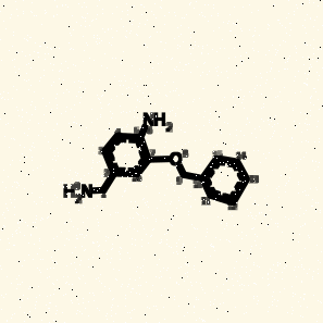 NCc1ccc(N)c(OCc2ccccc2)c1